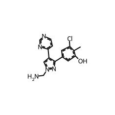 Cc1c(O)cc(-c2nn(CN)cc2-c2ccncn2)cc1Cl